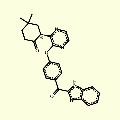 CC1(C)CCC(=O)[C@H](c2nccnc2Oc2ccc(C(=O)c3nc4ccccc4[nH]3)cc2)C1